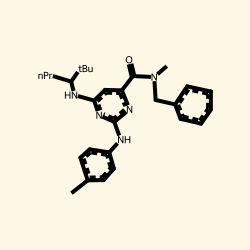 CCCC(Nc1cc(C(=O)N(C)Cc2ccccc2)nc(Nc2ccc(C)cc2)n1)C(C)(C)C